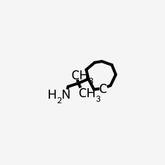 CC(C)(CN)C1CCCCCCCC1